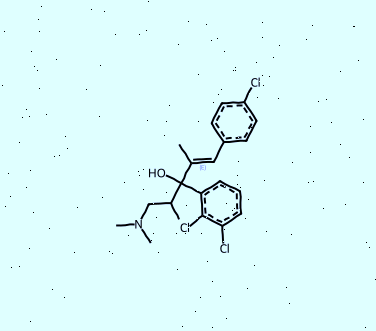 C/C(=C\c1ccc(Cl)cc1)C(O)(c1cccc(Cl)c1Cl)C(C)CN(C)C